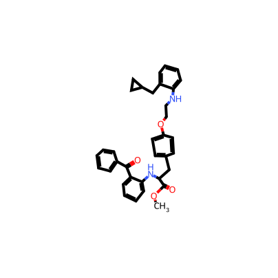 COC(=O)C(Cc1ccc(OCCNc2ccccc2CC2CC2)cc1)Nc1ccccc1C(=O)c1ccccc1